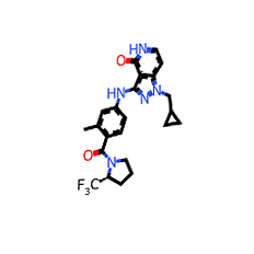 Cc1cc(Nc2nn(CC3CC3)c3cc[nH]c(=O)c23)ccc1C(=O)N1CCC[C@H]1C(F)(F)F